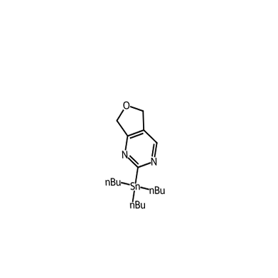 CCC[CH2][Sn]([CH2]CCC)([CH2]CCC)[c]1ncc2c(n1)COC2